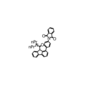 CCCN(CCC)C(=O)C1c2ccccc2-c2cccc(-c3ccc(N4C(=O)c5ccccc5C4=O)cc3)c21